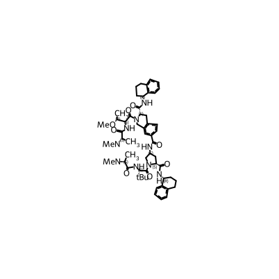 CN[C@@H](C)C(=O)N[C@H](C(=O)N1Cc2cc(C(=O)N[C@H]3C[C@@H](C(=O)N[C@@H]4CCCc5ccccc54)N(C(=O)[C@@H](NC(=O)[C@H](C)NC)C(C)(C)C)C3)ccc2C[C@H]1C(=O)N[C@@H]1CCCc2ccccc21)[C@@H](C)OC